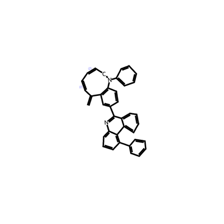 C=C1/C=C\C=C/CN(c2ccccc2)c2ccc(-c3nc4cccc(-c5ccccc5)c4c4ccccc34)cc21